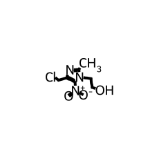 Cc1nc(CCl)c([N+](=O)[O-])n1CCO